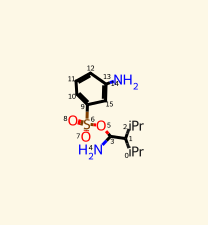 CC(C)C(C(C)C)C(N)OS(=O)(=O)c1cccc(N)c1